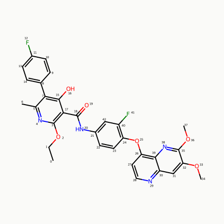 CCOc1nc(C)c(-c2ccc(F)cc2)c(O)c1C(=O)Nc1ccc(Oc2ccnc3cc(OC)c(OC)nc23)c(F)c1